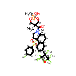 CC1(C(=O)N2CC[C@@]3(S(=O)(=O)c4ccc(F)cc4)c4ccc(C(F)(C(F)(F)F)C(F)(F)F)cc4CC[C@@H]23)CO[PH](C)(O)OC1